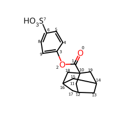 O=C(Oc1ccc(S(=O)(=O)O)cc1)C12CC3CC(CC(C3)C1)C2